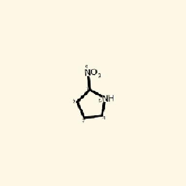 O=[N+]([O-])C1[CH]CCN1